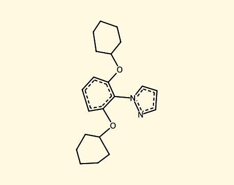 c1cc(OC2CCCCC2)c(-n2cccn2)c(OC2CCCCC2)c1